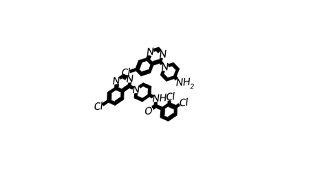 NC1CCN(c2ncnc3cc(Cl)ccc23)CC1.O=C(NC1CCN(c2ncnc3cc(Cl)ccc23)CC1)c1cccc(Cl)c1Cl